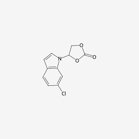 O=C1OCC(n2ccc3ccc(Cl)cc32)O1